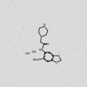 COc1cc2c(cc1NC(=O)CN1CCNCC1)OCO2.Cl.Cl